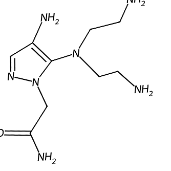 NCCN(CCN)c1c(N)cnn1CC(N)=O